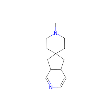 CN1CCC2(CC1)Cc1ccncc1C2